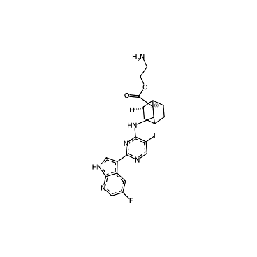 NCCOC(=O)[C@H]1C2CCC(CC2)C1Nc1nc(-c2c[nH]c3ncc(F)cc23)ncc1F